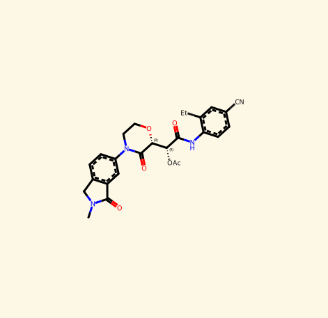 CCc1cc(C#N)ccc1NC(=O)[C@H](OC(C)=O)[C@H]1OCCN(c2ccc3c(c2)C(=O)N(C)C3)C1=O